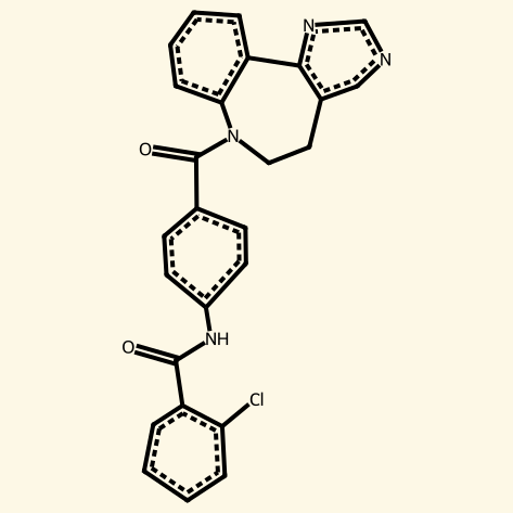 O=C(Nc1ccc(C(=O)N2CCc3cncnc3-c3ccccc32)cc1)c1ccccc1Cl